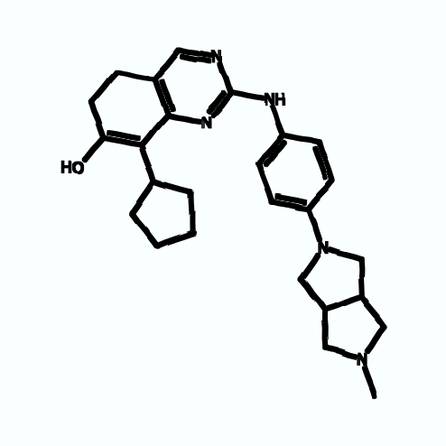 CN1CC2CN(c3ccc(Nc4ncc5c(n4)C(C4CCCC4)=C(O)CC5)cc3)CC2C1